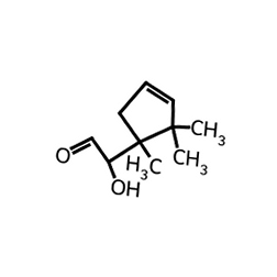 CC1(C)C=CCC1(C)C(O)C=O